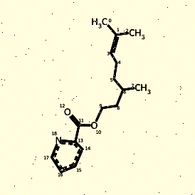 CC(C)=CCCC(C)CCOC(=O)c1ccccn1